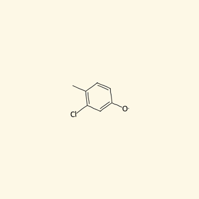 Cc1ccc([O])cc1Cl